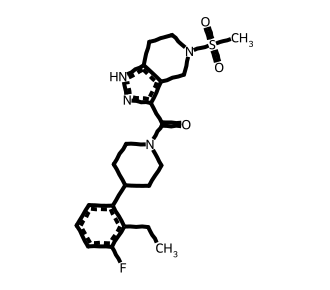 CCc1c(F)cccc1C1CCN(C(=O)c2n[nH]c3c2CN(S(C)(=O)=O)CC3)CC1